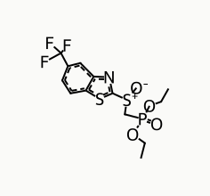 CCOP(=O)(C[S+]([O-])c1nc2cc(C(F)(F)F)ccc2s1)OCC